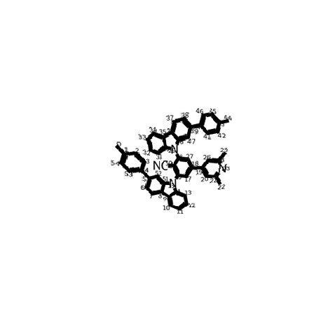 Cc1ccc(-c2ccc3c4ccccc4n(-c4cc(-c5cc(C)nc(C)c5)cc(-n5c6ccccc6c6ccc(-c7ccc(C)cc7)cc65)c4C#N)c3c2)cc1